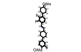 COc1ccc(C2CCC(/C=C/c3ccc(C4CCC(OC)CC4)c(F)c3F)CC2)cc1F